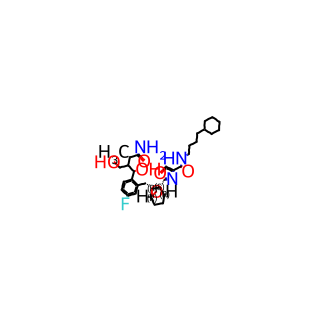 CC(C(N)=O)C(CO)C(O)c1ccc(F)cc1C[C@@H]1[C@H](c2nc(C(=O)NCCCCC3CCCCC3)co2)[C@H]2CC[C@H]1O2